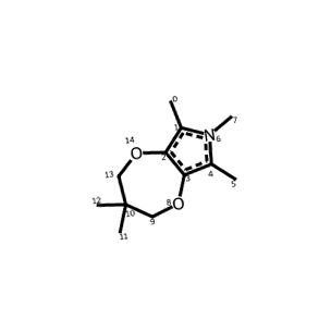 Cc1c2c(c(C)n1C)OCC(C)(C)CO2